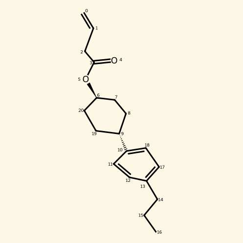 C=CCC(=O)O[C@H]1CC[C@H](c2ccc(CCC)cc2)CC1